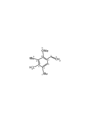 C=Cc1cc(C(C)(C)C)c(C)c(C(C)(C)C)c1OC